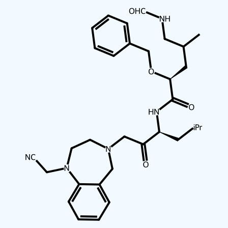 CC(C)C[C@H](NC(=O)[C@H](CC(C)CNC=O)OCc1ccccc1)C(=O)CN1CCN(CC#N)c2ccccc2C1